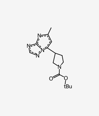 Cc1cc(C2CCN(C(=O)OC(C)(C)C)C2)n2ncnc2n1